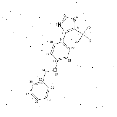 CC(C)(C)c1s[c]nc1-c1ccc(OCc2ccccc2)cc1